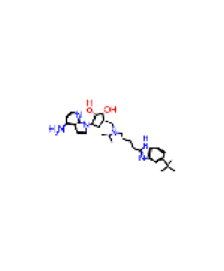 CC(C)N(CCCCc1nc2cc(C(C)(C)C)ccc2[nH]1)C[C@H]1C[C@@H](n2ccc3c(N)ccnc32)[C@H](O)[C@@H]1O